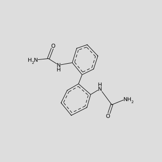 NC(=O)Nc1ccccc1-c1ccccc1NC(N)=O